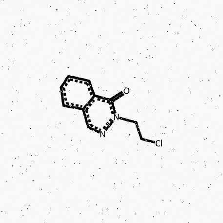 O=c1c2ccccc2cnn1CCCl